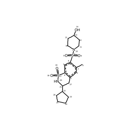 Cc1cc2c(cc1S(=O)(=O)N1CCC(O)CC1)S(=O)(=O)NC(C1CCCC1)C2